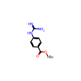 CCCCOC(=O)c1ccc(NC(=N)N)cc1